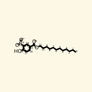 CCCCCCCCCCCCOC(=O)c1ccc(O)c([N+](=O)[O-])c1